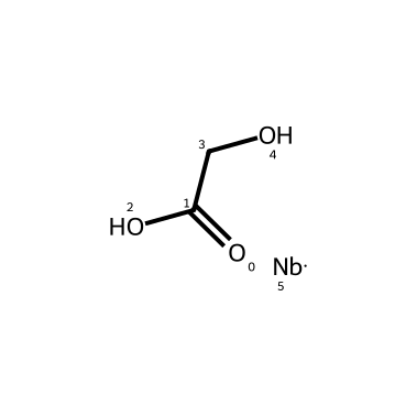 O=C(O)CO.[Nb]